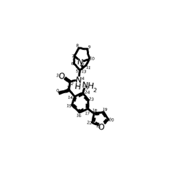 C=C(C(=O)NC1CC2CCC(C1)N2C)c1ccc(-c2ccoc2)cc1N